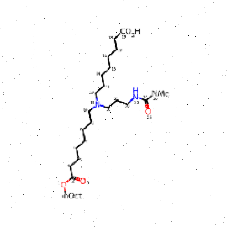 CCCCCCCCOC(=O)CCCCCCCN(CCCCCCCC(=O)O)CCCNC(=O)NC